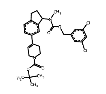 CN(C(=O)OCc1cc(Cl)cc(Cl)c1)C1CCc2ccc(C3=CCN(C(=O)OC(C)(C)C)CC3)cc21